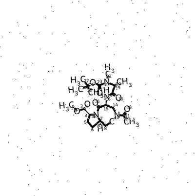 COC(=O)[C@@H]1CC[C@@H]2CCN(C(C)=O)C[C@H](NC(=O)[C@H](C)N(C)C(=O)OC(C)(C)C)C(=O)N21